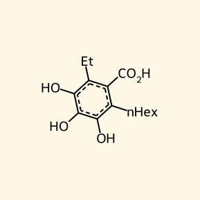 CCCCCCc1c(O)c(O)c(O)c(CC)c1C(=O)O